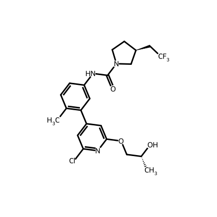 Cc1ccc(NC(=O)N2CC[C@@H](CC(F)(F)F)C2)cc1-c1cc(Cl)nc(OC[C@@H](C)O)c1